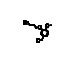 COc1ccc(C=O)cc1OCCCBr